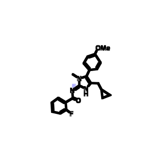 COc1ccc(-c2c(CC3CC3)[nH]/c(=N\C(=O)c3ccccc3F)n2C)cc1